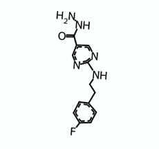 NNC(=O)c1cnc(NCCc2ccc(F)cc2)nc1